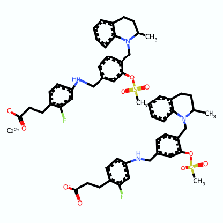 CC1CCc2ccccc2N1Cc1ccc(CNc2ccc(CCC(=O)[O-])c(F)c2)cc1OS(C)(=O)=O.CC1CCc2ccccc2N1Cc1ccc(CNc2ccc(CCC(=O)[O-])c(F)c2)cc1OS(C)(=O)=O.[Ca+2]